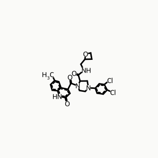 Cc1ccc2[nH]c(=O)cc(C(=O)N3CCN(c4ccc(Cl)c(Cl)c4)CC3C(=O)NCC3CCO3)c2c1